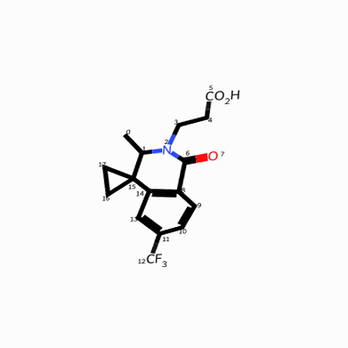 CC1N(CCC(=O)O)C(=O)c2ccc(C(F)(F)F)cc2C12CC2